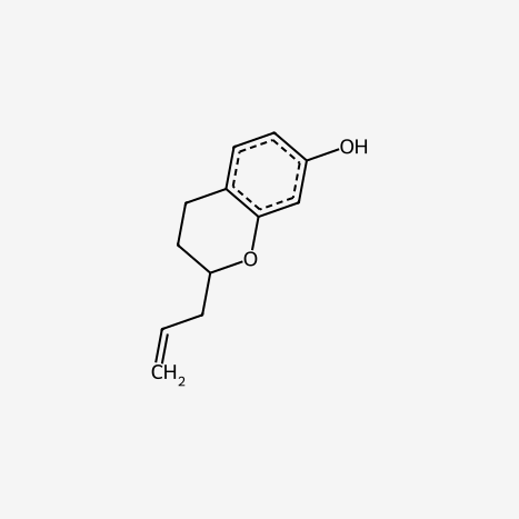 C=CCC1CCc2ccc(O)cc2O1